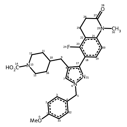 COc1ccc(Cn2cc(CC3CCN(C(=O)O)CC3)c(-c3ccc4c(c3F)CCC(=O)N4C)n2)cc1